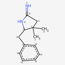 CC1(C)CC(=N)NC1Cc1ccccc1